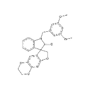 COc1cc(CN2C(=O)C3(COc4cc5c(cc43)OCCO5)c3ccccc32)cc(OC)c1